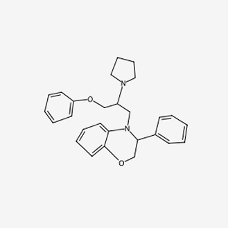 c1ccc(OCC(CN2c3ccccc3OCC2c2ccccc2)N2CCCC2)cc1